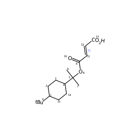 CC(C)(C)C1CCC(C(C)(C)OC(=O)/C=C/C(=O)O)CC1